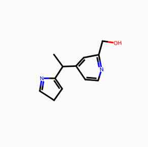 CC(C1=CCC=N1)c1ccnc(CO)c1